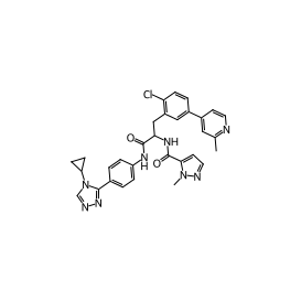 Cc1cc(-c2ccc(Cl)c(CC(NC(=O)c3ccnn3C)C(=O)Nc3ccc(-c4nncn4C4CC4)cc3)c2)ccn1